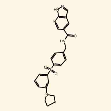 O=C(NCc1ccc(S(=O)(=O)c2cccc(N3CCCC3)c2)cc1)c1cnc2[nH]ncc2c1